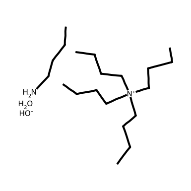 CCCCN.CCCC[N+](CCCC)(CCCC)CCCC.O.[OH-]